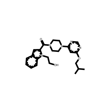 CC(C)COc1cc(N2CCN(C(=O)c3cc4ccccc4n3CCO)CC2)ncn1